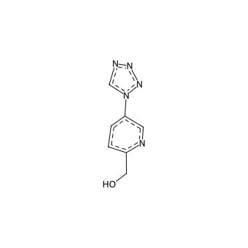 OCc1ccc(-n2cnnn2)cn1